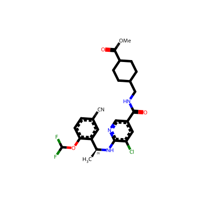 COC(=O)C1CCC(CNC(=O)c2cnc(N[C@@H](C)c3cc(C#N)ccc3OC(F)F)c(Cl)c2)CC1